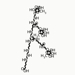 C[C@@H]1O[C@@H](OCCNCCNC(CCCCNCCN(CCNCCCCCNCCNCCNCCCCCC(=O)O)CC(=O)NCCCCCC(=O)NCCO[C@@H]2O[C@@H](C)[C@@H](O)[C@@H](O)[C@@H]2O)C(=O)NCCO[C@@H]2O[C@@H](C)[C@@H](O)[C@@H](O)[C@@H]2O)[C@@H](O)[C@H](O)[C@@H]1O